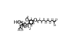 COc1cc(OCCCCCCCCC(C)C)ccc1CC[C@@](N)(CO)CC(C)C